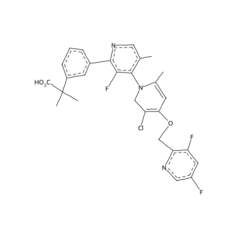 CC1=CC(OCc2ncc(F)cc2F)=C(Cl)CN1c1c(C)cnc(-c2cccc(C(C)(C)C(=O)O)c2)c1F